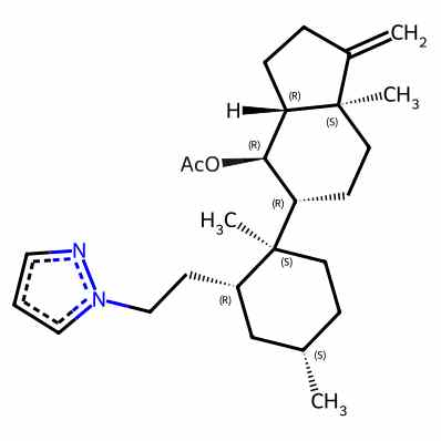 C=C1CC[C@H]2[C@H](OC(C)=O)[C@@H]([C@@]3(C)CC[C@H](C)C[C@@H]3CCn3cccn3)CC[C@]12C